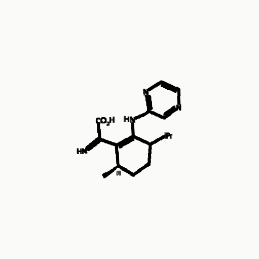 CC(C)C1CC[C@@H](C)C(C(=N)C(=O)O)=C1Nc1cnccn1